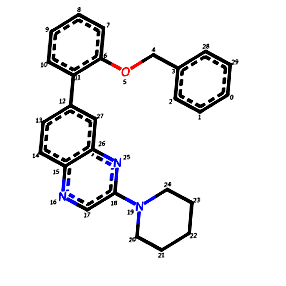 c1ccc(COc2ccccc2-c2ccc3ncc(N4CCCCC4)nc3c2)cc1